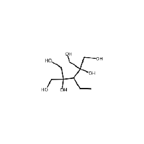 CCC(C(O)(CO)CO)C(O)(CO)CO